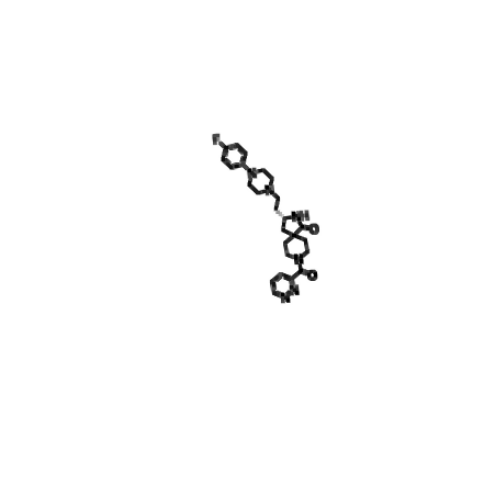 O=C(c1cccnn1)N1CCC2(CC1)C[C@H](CCN1CCN(c3ccc(F)cc3)CC1)NC2=O